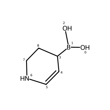 OB(O)C1C=CNCC1